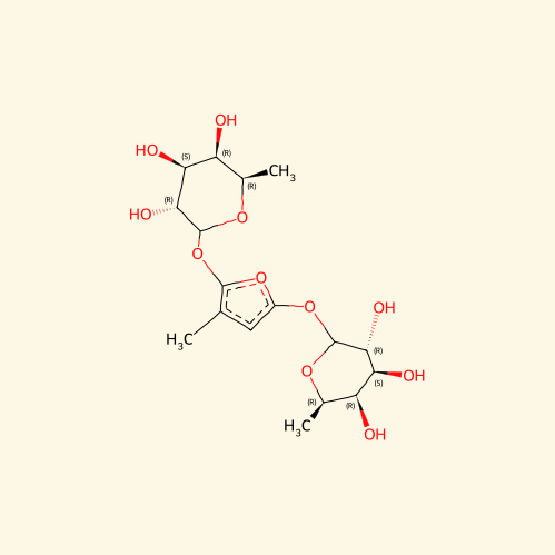 Cc1cc(OC2O[C@H](C)[C@H](O)[C@H](O)[C@H]2O)oc1OC1O[C@H](C)[C@H](O)[C@H](O)[C@H]1O